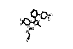 Cc1nc(-c2ccccc2N2CCS(=O)(=O)CC2)c([C@@H]2CCC(F)(F)C[C@H]2C(=O)NCC#N)o1